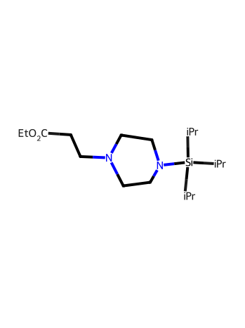 CCOC(=O)CCN1CCN([Si](C(C)C)(C(C)C)C(C)C)CC1